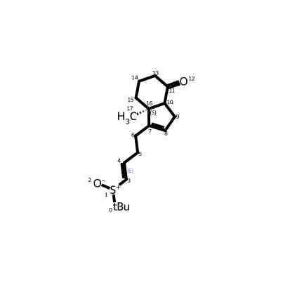 CC(C)(C)[S+]([O-])/C=C/CCC1=CCC2C(=O)CCC[C@]12C